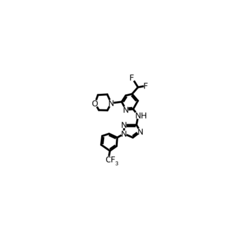 FC(F)c1cc(Nc2ncn(-c3cccc(C(F)(F)F)c3)n2)nc(N2CCOCC2)c1